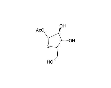 CC(=O)OC1S[C@H](CO)[C@@H](O)[C@@H]1O